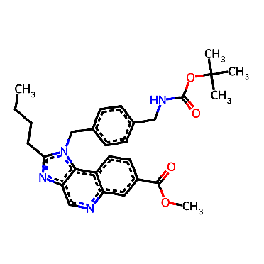 CCCCc1nc2cnc3cc(C(=O)OC)ccc3c2n1Cc1ccc(CNC(=O)OC(C)(C)C)cc1